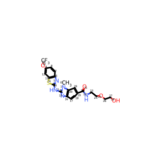 Cn1c(Nc2nc3ccc(OC(F)(F)F)cc3s2)nc2ccc(C(=O)NCCOCCO)cc21